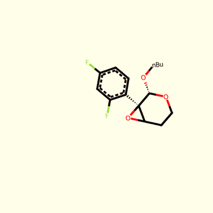 CCCCO[C@@H]1OCCC2O[C@]21c1ccc(F)cc1F